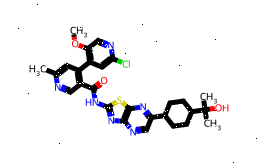 COc1cnc(Cl)cc1-c1cc(C)ncc1C(=O)Nc1nc2ncc(C3CCC(C(C)(C)O)CC3)nc2s1